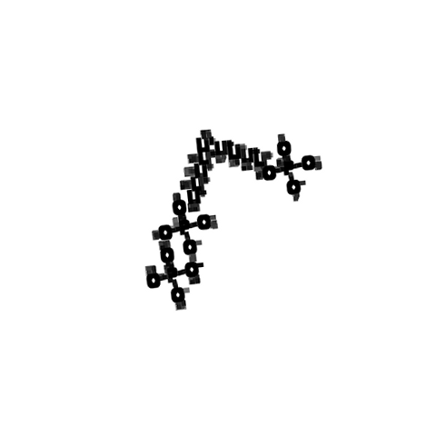 O=P([O-])([O-])[O-].O=P([O-])([O-])[O-].O=P([O-])([O-])[O-].[Li+].[Li+].[Li+].[Li+].[Li+].[Li+].[Li+].[Li+].[Li+]